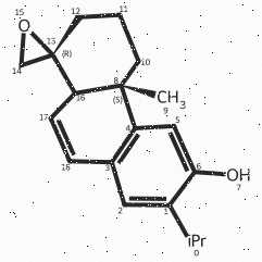 CC(C)c1cc2c(cc1O)[C@@]1(C)CCC[C@]3(CO3)C1C=C2